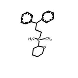 C[Si](C)(CCC(c1ccccc1)c1ccccc1)C1CCCCO1